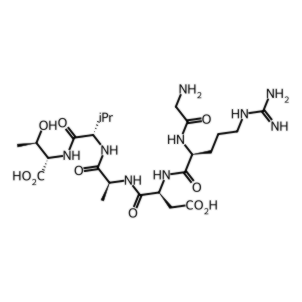 CC(C)[C@H](NC(=O)[C@H](C)NC(=O)[C@H](CC(=O)O)NC(=O)[C@H](CCCNC(=N)N)NC(=O)CN)C(=O)N[C@H](C(=O)O)[C@@H](C)O